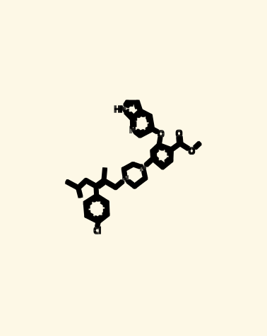 COC(=O)c1ccc(N2CCN(C/C(C)=C(/CC(C)C)c3ccc(Cl)cc3)CC2)cc1Oc1cnc2[nH]ccc2c1